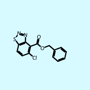 O=C(OCc1ccccc1)c1c(Cl)ccc2snnc12